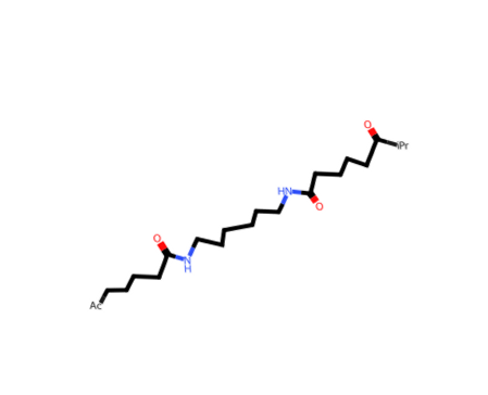 CC(=O)CCCCC(=O)NCCCCCCNC(=O)CCCCC(=O)C(C)C